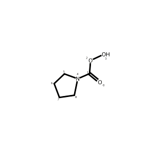 O=C(OO)N1CCCC1